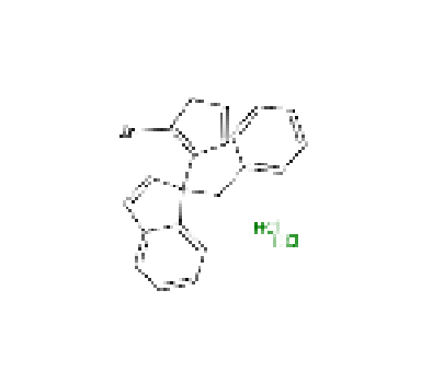 Cl.Cl.[Zr][C]1=C(C2(Cc3ccccc3)C=Cc3ccccc32)C=CC1